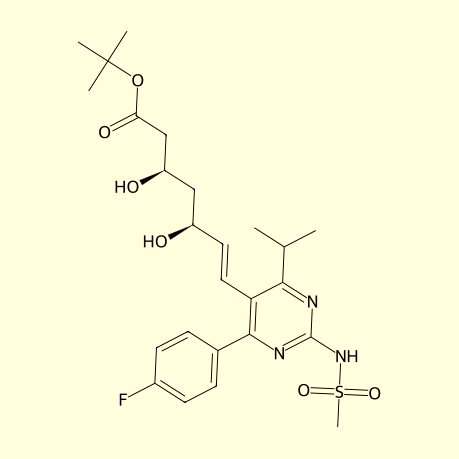 CC(C)c1nc(NS(C)(=O)=O)nc(-c2ccc(F)cc2)c1/C=C/[C@@H](O)C[C@@H](O)CC(=O)OC(C)(C)C